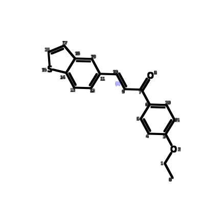 CCOc1ccc(C(=O)/C=C/c2ccc3sccc3c2)cc1